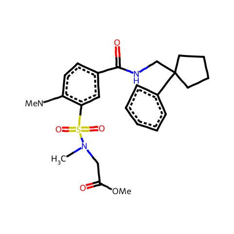 CNc1ccc(C(=O)NCC2(c3ccccc3)CCCC2)cc1S(=O)(=O)N(C)CC(=O)OC